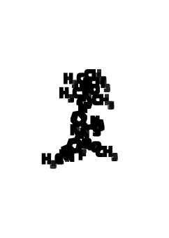 COCOc1c(-c2nc(-c3nccs3)c3cc(N4C[C@@H](C)N(C(=O)OC(C)(C)C)[C@@H](C)C4)ccc3n2)cc2cn(C)nc2c1F